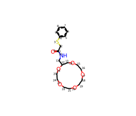 O=C(CSc1ccccc1)NCC1COCCOCCOCCOCCO1